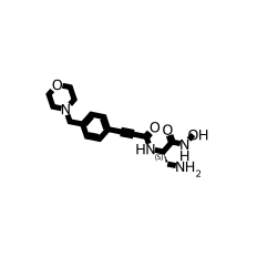 NC[C@H](NC(=O)C#Cc1ccc(CN2CCOCC2)cc1)C(=O)NO